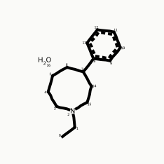 CCN1CCCCC(c2ccccc2)CC1.O